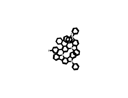 Fc1ccc(-c2c(-n3c4ccccc4c4ccc5c(c6ccccc6n5-c5ccccc5)c43)cc(-n3c4ccccc4c4ccc5c(c6ccccc6n5-c5ccccc5)c43)c(-c3ccc(F)cc3)c2C2CCCCC2)cc1